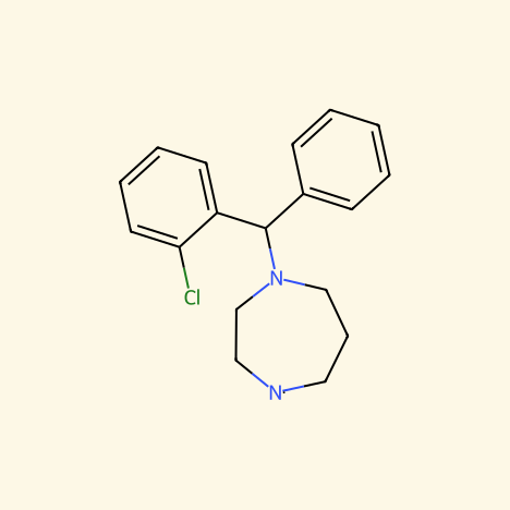 Clc1ccccc1C(c1ccccc1)N1CCC[N]CC1